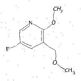 COCc1cc(F)cnc1OC